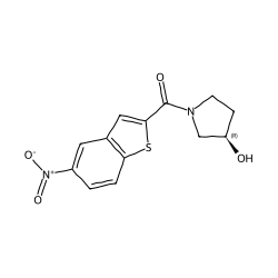 O=C(c1cc2cc([N+](=O)[O-])ccc2s1)N1CC[C@@H](O)C1